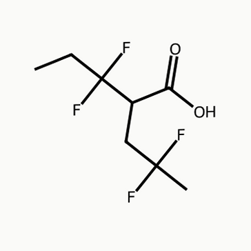 CCC(F)(F)C(CC(C)(F)F)C(=O)O